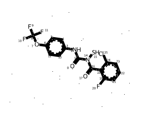 O=C(Nc1ccc(OC(F)(F)F)cc1)N(S)C(=O)c1c(F)cccc1Cl